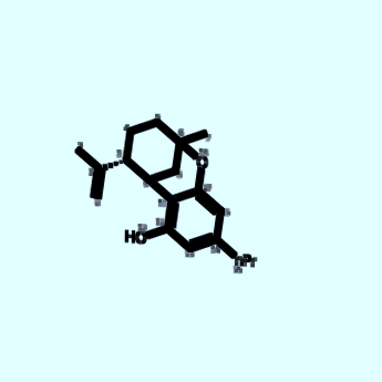 C=C(C)[C@@H]1CCC2(C)CC1c1c(O)cc(CCC)cc1O2